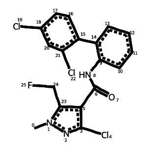 Cn1nc(Cl)c(C(=O)Nc2ccccc2-c2ccc(Cl)cc2Cl)c1CF